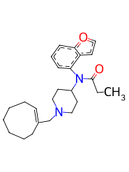 CCC(=O)N(c1cccc2occc12)C1CCN(C/C2=C/CCCCCC2)CC1